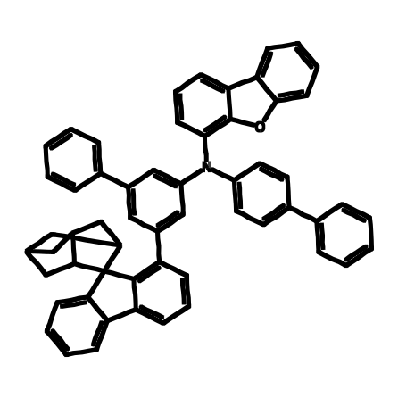 c1ccc(-c2ccc(N(c3cc(-c4ccccc4)cc(-c4cccc5c4C4(c6ccccc6-5)C5CC6CC(C5)C4C6)c3)c3cccc4c3oc3ccccc34)cc2)cc1